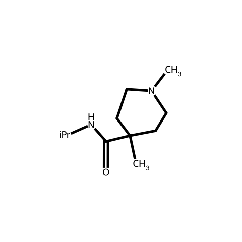 CC(C)NC(=O)C1(C)CCN(C)CC1